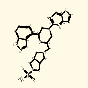 CS(=O)(=O)N1CC2CN(CC3CN(c4ncc5sccc5n4)CC(c4cccc5[nH]ncc45)O3)CC2C1